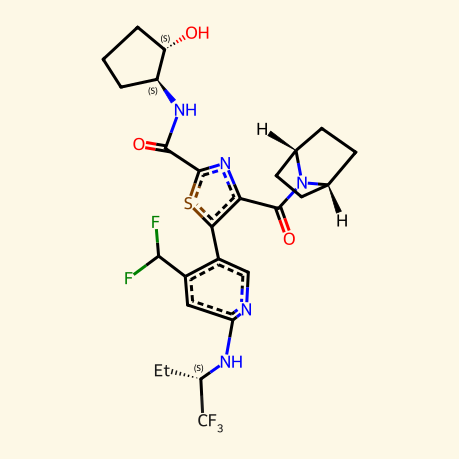 CC[C@H](Nc1cc(C(F)F)c(-c2sc(C(=O)N[C@H]3CCC[C@@H]3O)nc2C(=O)N2[C@H]3CC[C@@H]2CC3)cn1)C(F)(F)F